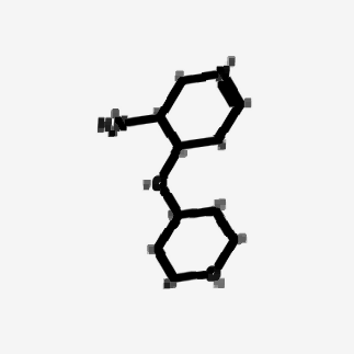 NC1CN=CCC1OC1CCOCC1